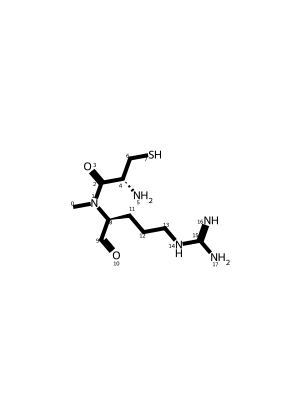 CN(C(=O)[C@@H](N)CS)[C@H](C=O)CCCNC(=N)N